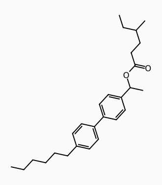 CCCCCCc1ccc(-c2ccc(C(C)OC(=O)CCC(C)CC)cc2)cc1